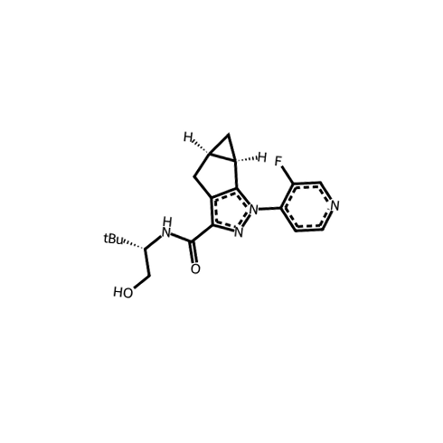 CC(C)(C)[C@@H](CO)NC(=O)c1nn(-c2ccncc2F)c2c1C[C@H]1C[C@@H]21